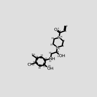 C=CC(=O)N1CCN(C(O)CNc2cc(I)c(Cl)cc2O)CC1